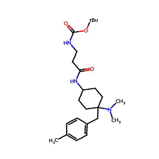 Cc1ccc(CC2(N(C)C)CCC(NC(=O)CCNC(=O)OC(C)(C)C)CC2)cc1